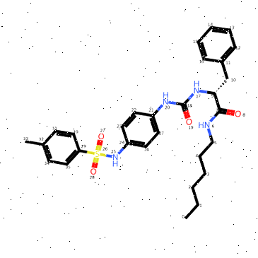 CCCCCCNC(=O)[C@@H](Cc1ccccc1)NC(=O)Nc1ccc(NS(=O)(=O)c2ccc(C)cc2)cc1